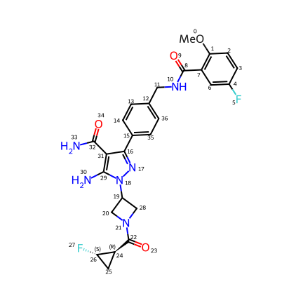 COc1ccc(F)cc1C(=O)NCc1ccc(-c2nn(C3CN(C(=O)[C@H]4C[C@@H]4F)C3)c(N)c2C(N)=O)cc1